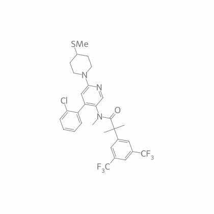 CSC1CCN(c2cc(-c3ccccc3Cl)c(N(C)C(=O)C(C)(C)c3cc(C(F)(F)F)cc(C(F)(F)F)c3)cn2)CC1